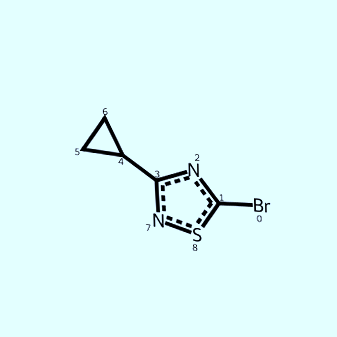 Brc1nc(C2CC2)ns1